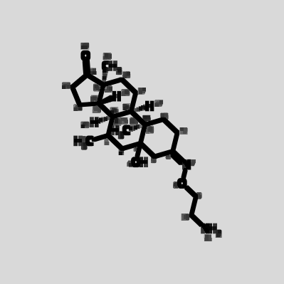 CC1CC2(O)CC(=NOCCN)CC[C@]2(C)[C@@H]2CC[C@]3(C)C(=O)CC[C@H]3[C@H]12